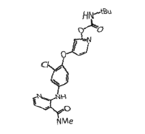 CNC(=O)c1cccnc1Nc1ccc(Oc2ccnc(OC(=O)NC(C)(C)C)c2)c(Cl)c1